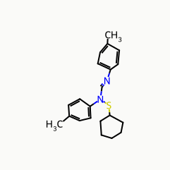 Cc1ccc(N=CN(SC2CCCCC2)c2ccc(C)cc2)cc1